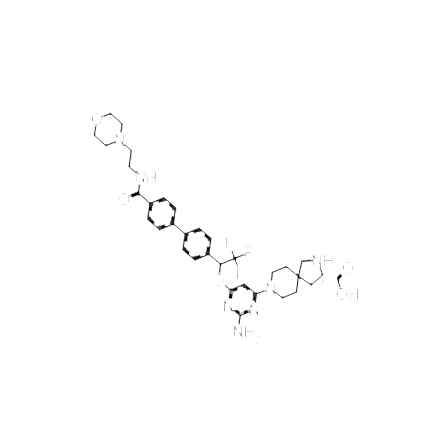 Nc1nc(OC(c2ccc(-c3ccc(C(=O)NCCN4CCOCC4)cc3)cc2)C(F)(F)F)cc(N2CCC3(CC2)CN[C@H](C(=O)O)C3)n1